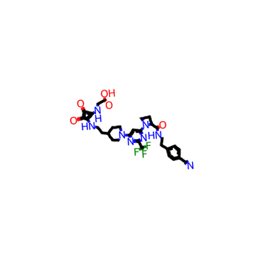 N#Cc1ccc(CCNC(=O)C2CCN2c2cc(N3CCC(CCNc4c(NCC(=O)O)c(=O)c4=O)CC3)nc(C(F)(F)F)n2)cc1